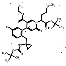 CCOC(=O)c1cn(C(CCOC)C(=O)OC(C)(C)C)c(=O)cc1-c1cc(Cl)ccc1CC1(NC(=O)OC(C)(C)C)CC1